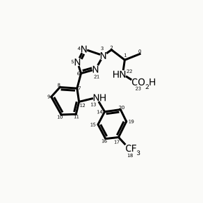 CC(Cn1nnc(-c2ccccc2Nc2ccc(C(F)(F)F)cc2)n1)NC(=O)O